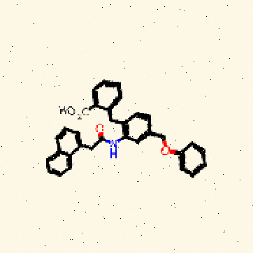 O=C(Cc1cccc2ccccc12)Nc1cc(COc2ccccc2)ccc1Cc1ccccc1C(=O)O